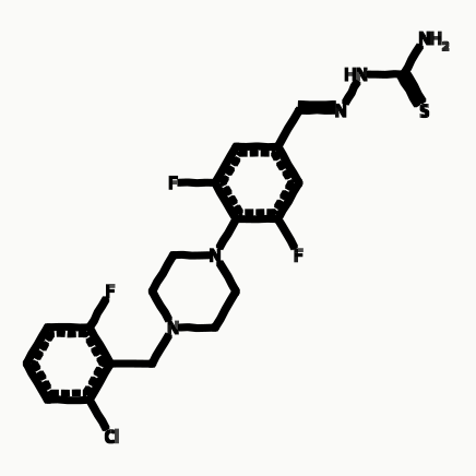 NC(=S)NN=Cc1cc(F)c(N2CCN(Cc3c(F)cccc3Cl)CC2)c(F)c1